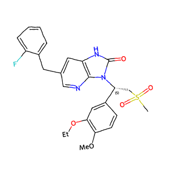 CCOc1cc([C@@H](CS(C)(=O)=O)n2c(=O)[nH]c3cc(Cc4ccccc4F)cnc32)ccc1OC